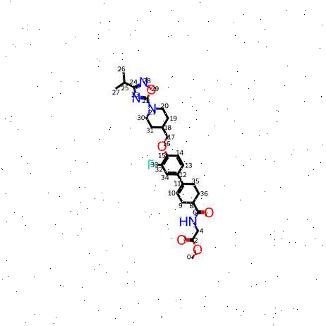 COC(=O)CNC(=O)C1CC=C(c2ccc(OCC3CCN(c4nc(C(C)C)no4)CC3)c(F)c2)CC1